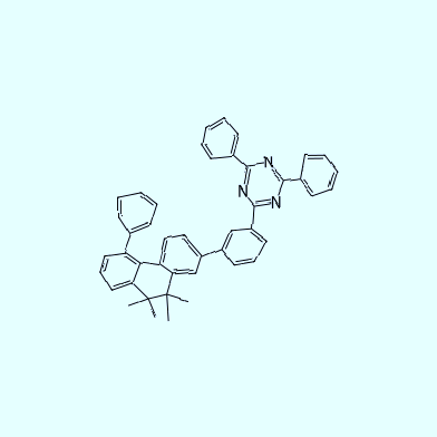 CC1(C)c2cc(-c3cccc(-c4nc(-c5ccccc5)nc(-c5ccccc5)n4)c3)ccc2-c2c(-c3ccccc3)cccc2C1(C)C